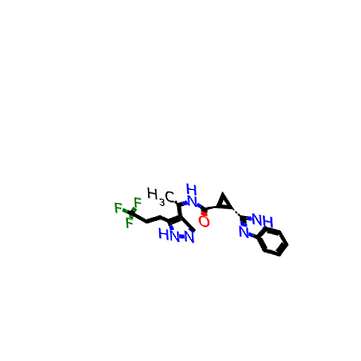 C[C@@H](NC(=O)[C@H]1C[C@@H]1c1nc2ccccc2[nH]1)c1cn[nH]c1CCC(F)(F)F